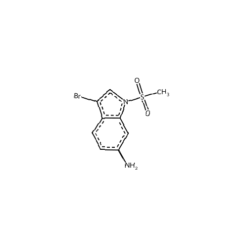 CS(=O)(=O)n1cc(Br)c2ccc(N)cc21